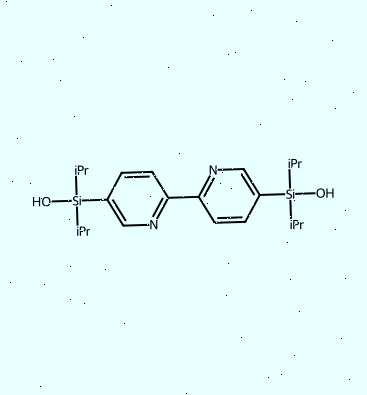 CC(C)[Si](O)(c1ccc(-c2ccc([Si](O)(C(C)C)C(C)C)cn2)nc1)C(C)C